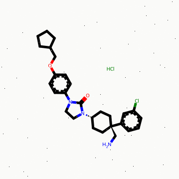 Cl.NC[C@]1(c2cccc(Cl)c2)CC[C@@H](N2CCN(c3ccc(OCC4CCCC4)cc3)C2=O)CC1